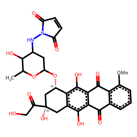 COc1cccc2c1C(=O)c1c(O)c3c(c(O)c1C2=O)C[C@@](O)(C(=O)CO)C[C@@H]3OC1CC(NN2C(=O)C=CC2=O)C(O)C(C)O1